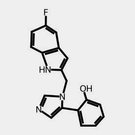 Oc1ccccc1-c1cncn1Cc1cc2cc(F)ccc2[nH]1